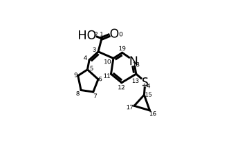 O=C(O)/C(=C/C1CCCC1)c1ccc(SC2CC2)nc1